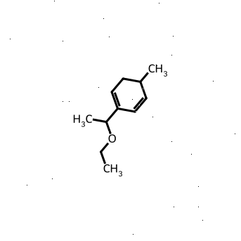 CCOC(C)C1=CCC(C)C=C1